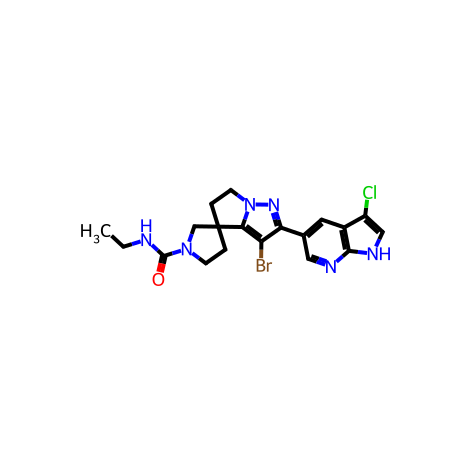 CCNC(=O)N1CCC2(CCn3nc(-c4cnc5[nH]cc(Cl)c5c4)c(Br)c32)C1